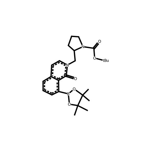 CC(C)(C)OC(=O)N1CCCC1Cn1ccc2cccc(B3OC(C)(C)C(C)(C)O3)c2c1=O